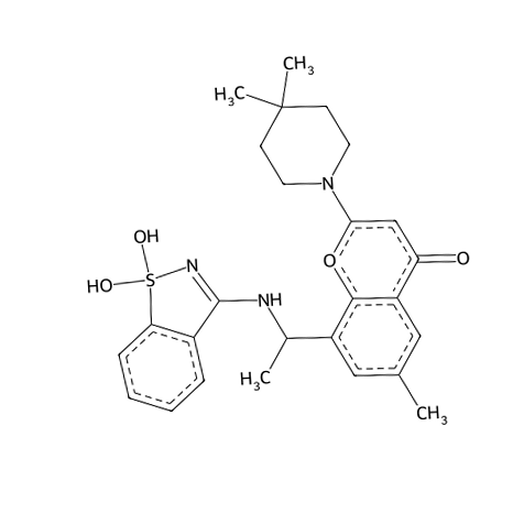 Cc1cc(C(C)NC2=NS(O)(O)c3ccccc32)c2oc(N3CCC(C)(C)CC3)cc(=O)c2c1